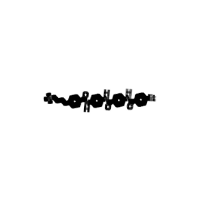 CCc1ccc(C(=O)Nc2ccc(C(=O)Nc3ccc(NC(=O)c4ccc(CCCC[N+](C)(C)C)cc4)cc3)cc2)cc1